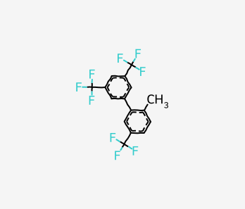 Cc1ccc(C(F)(F)F)cc1-c1cc(C(F)(F)F)cc(C(F)(F)F)c1